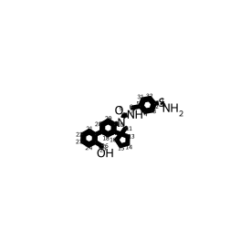 NSc1ccc(CNC(=O)N2CC3(CCCC3)c3cc(-c4ccccc4CO)ccc32)cc1